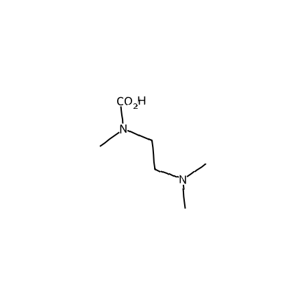 CN(C)CCN(C)C(=O)O